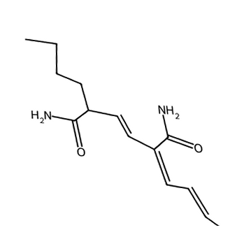 CC=CC=C(C=CC(CCCC)C(N)=O)C(N)=O